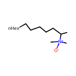 CCCCCCCCCCCC(C)[N+](C)(C)[O-]